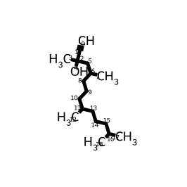 C#CC(C)(O)CC(C)CCCC(C)CCCC(C)C